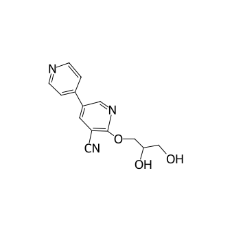 N#Cc1cc(-c2ccncc2)cnc1OCC(O)CO